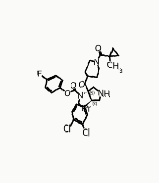 CC(C)CN(C(=O)Oc1ccc(F)cc1)[C@]1(C(=O)C2CCN(C(=O)C3(C)CC3)CC2)CNC[C@H]1c1ccc(Cl)c(Cl)c1